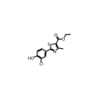 CCOC(=O)c1[se]c(-c2ccc(O)c(Cl)c2)nc1C